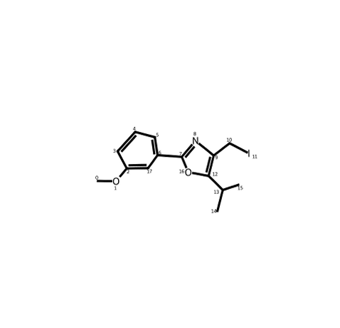 COc1cccc(-c2nc(CI)c(C(C)C)o2)c1